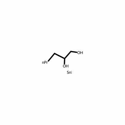 CCCCC(O)CO.[Sn]